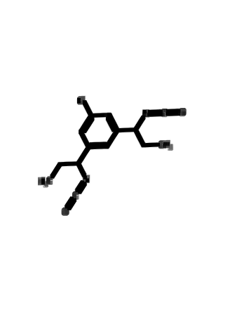 CCC(N=C=O)c1cc(Cl)cc(C(CC)N=C=O)c1